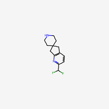 FC(F)c1ccc2c(n1)CC1(CCNCC1)C2